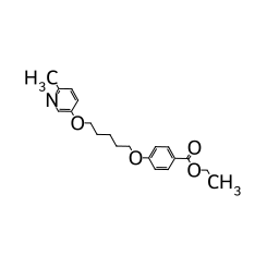 CCOC(=O)c1ccc(OCCCCCOc2ccc(C)nc2)cc1